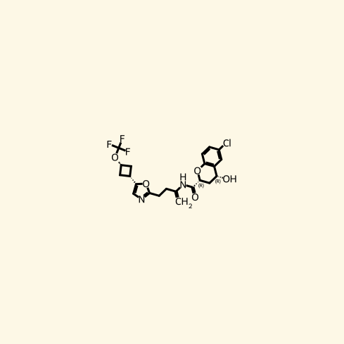 C=C(CCc1ncc([C@H]2C[C@@H](OC(F)(F)F)C2)o1)NC(=O)[C@H]1C[C@@H](O)c2cc(Cl)ccc2O1